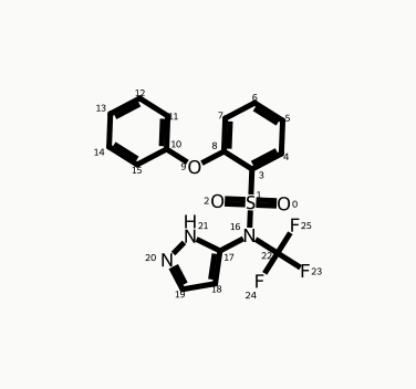 O=S(=O)(c1ccccc1Oc1ccccc1)N(c1ccn[nH]1)C(F)(F)F